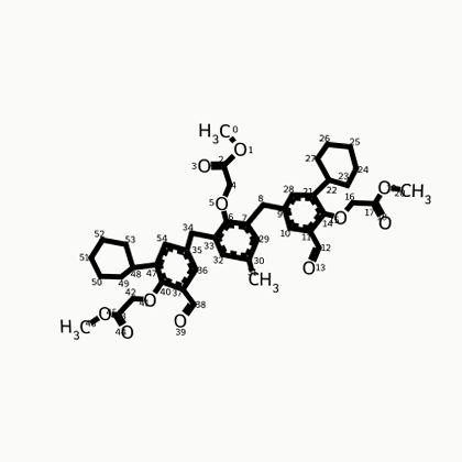 COC(=O)COc1c(Cc2cc(C=O)c(OCC(=O)OC)c(C3CCCCC3)c2)cc(C)cc1Cc1cc(C=O)c(OCC(=O)OC)c(C2CCCCC2)c1